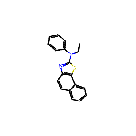 CCN(c1ccccc1)c1nc2ccc3ccccc3c2s1